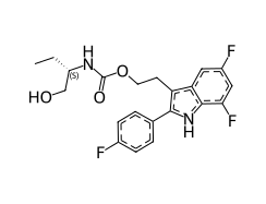 CC[C@@H](CO)NC(=O)OCCc1c(-c2ccc(F)cc2)[nH]c2c(F)cc(F)cc12